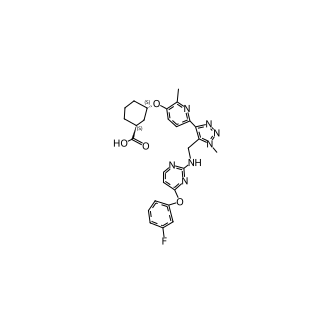 Cc1nc(-c2nnn(C)c2CNc2nccc(Oc3cccc(F)c3)n2)ccc1O[C@H]1CCC[C@H](C(=O)O)C1